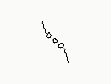 CCCCCCC[C@H]1CC[C@H](c2ccc([C@H]3CC[C@H](CCCCCC)CC3)cc2)CC1